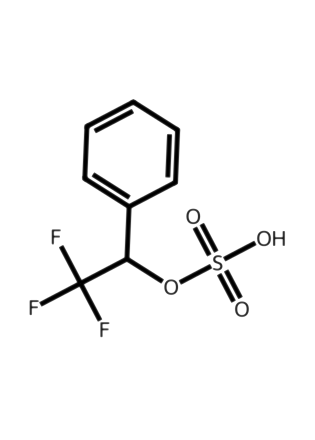 O=S(=O)(O)OC(c1ccccc1)C(F)(F)F